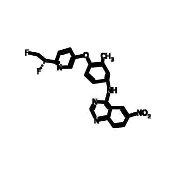 Cc1cc(Nc2ncnc3ccc([N+](=O)[O-])cc23)ccc1Oc1ccc([C@H](F)CF)nc1